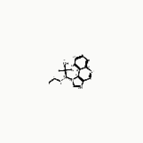 CCC[C@@H](n1cnc2cnc3ccccc3c21)C(C)(C)O